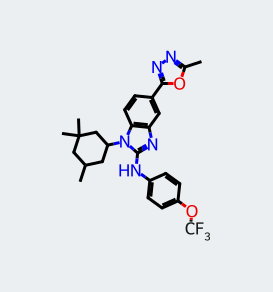 Cc1nnc(-c2ccc3c(c2)nc(Nc2ccc(OC(F)(F)F)cc2)n3C2CC(C)CC(C)(C)C2)o1